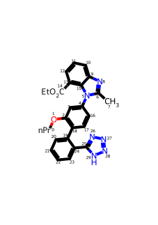 CCCOc1cc(-n2c(C)nc3cccc(C(=O)OCC)c32)ccc1-c1ccccc1-c1nnn[nH]1